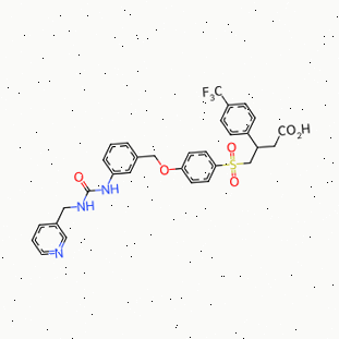 O=C(O)CC(CS(=O)(=O)c1ccc(OCc2cccc(NC(=O)NCc3cccnc3)c2)cc1)c1ccc(C(F)(F)F)cc1